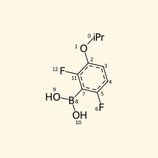 CC(C)Oc1ccc(F)c(B(O)O)c1F